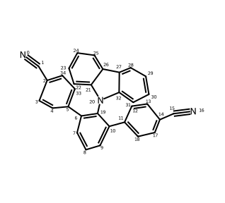 N#Cc1ccc(-c2cccc(-c3ccc(C#N)cc3)c2-n2c3ccccc3c3ccccc32)cc1